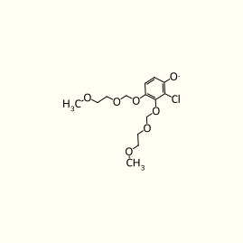 COCCOCOc1ccc([O])c(Cl)c1OCOCCOC